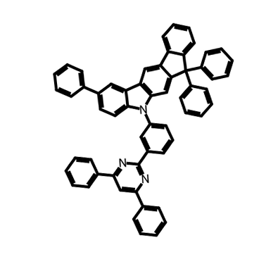 c1ccc(-c2ccc3c(c2)c2cc4c(cc2n3-c2cccc(-c3nc(-c5ccccc5)cc(-c5ccccc5)n3)c2)C(c2ccccc2)(c2ccccc2)c2ccccc2-4)cc1